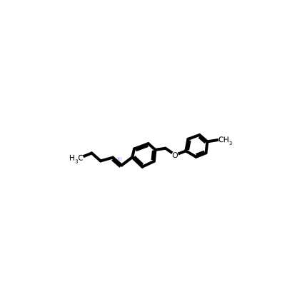 CCC/C=C/c1ccc(COc2ccc(C)cc2)cc1